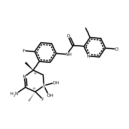 Cc1cc(Cl)cnc1C(=O)Nc1ccc(F)c([C@]2(C)CS(O)(O)[C@@](C)(F)C(N)=N2)c1